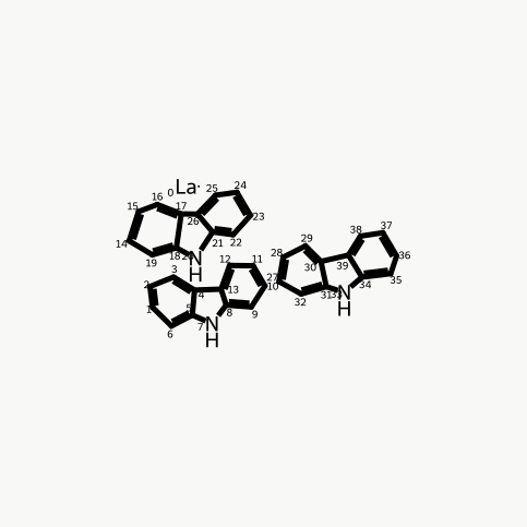 [La].c1ccc2c(c1)[nH]c1ccccc12.c1ccc2c(c1)[nH]c1ccccc12.c1ccc2c(c1)[nH]c1ccccc12